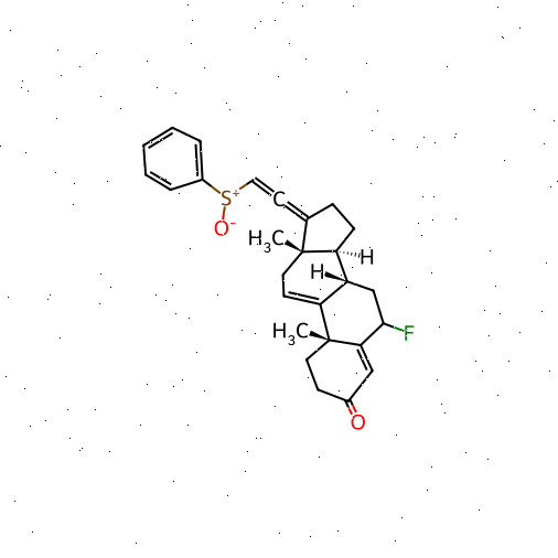 C[C@]12CCC(=O)C=C1C(F)C[C@@H]1C2=CC[C@]2(C)C(=C=C[S+]([O-])c3ccccc3)CC[C@@H]12